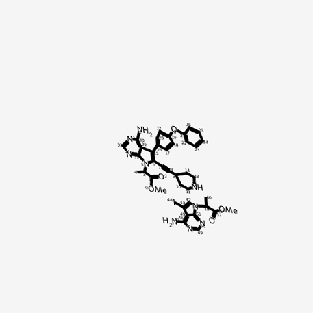 COC(=O)C(C)n1c(C#CC2CCNCC2)c(-c2ccc(Oc3ccccc3)cc2)c2c(N)ncnc21.COC(=O)C(C)n1cc(I)c2c(N)ncnc21